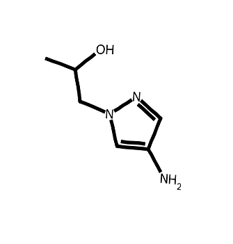 CC(O)Cn1cc(N)cn1